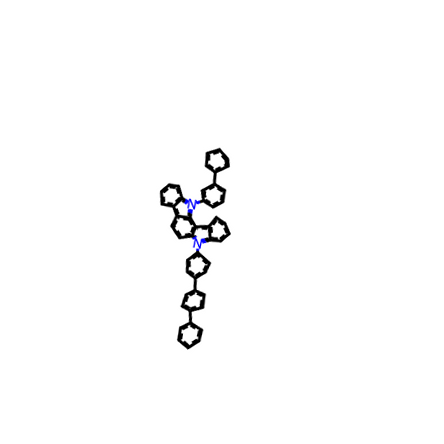 c1ccc(-c2ccc(-c3ccc(-n4c5ccccc5c5c4ccc4c6ccccc6n(-c6cccc(-c7ccccc7)c6)c45)cc3)cc2)cc1